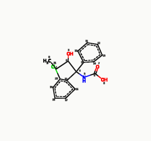 CCC(O)C(NC(=O)O)(c1ccccc1)c1ccccc1Cl